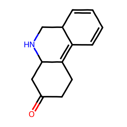 O=C1CCC2=C3C=CC=CC3CNC2C1